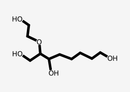 OCCCCCC(O)C(CO)OCCO